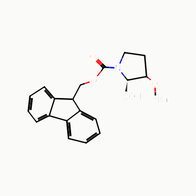 CC(C)(C)OC1CCN(C(=O)OCC2c3ccccc3-c3ccccc32)[C@@H]1C(=O)O